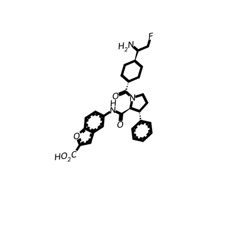 NC(CF)[C@H]1CC[C@H](C(=O)N2CC[C@H](c3ccccc3)[C@H]2C(=O)Nc2ccc3oc(C(=O)O)cc3c2)CC1